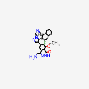 CCOc1cc(-c2cnn(C)c2[C@@H]2C(F)=Cc3ccccc3[C@H]2C#N)cc2c(CN)n[nH]c(=O)c12